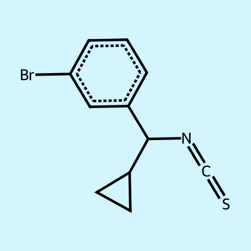 S=C=NC(c1cccc(Br)c1)C1CC1